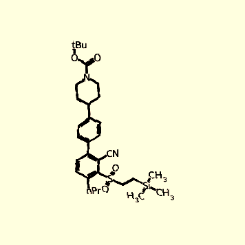 CCCc1ccc(-c2ccc(C3CCN(C(=O)OC(C)(C)C)CC3)cc2)c(C#N)c1S(=O)(=O)CC[Si](C)(C)C